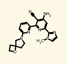 Cn1ccnc1-c1cc(N)c(C#N)c(-c2cccc(N3CCC4(CCO4)C3)n2)n1